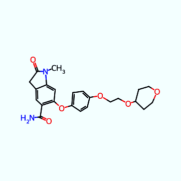 CN1C(=O)Cc2cc(C(N)=O)c(Oc3ccc(OCCOC4CCOCC4)cc3)cc21